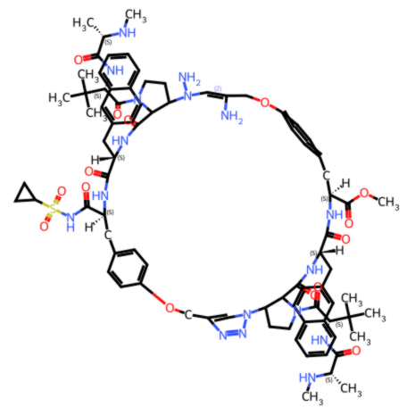 CN[C@@H](C)C(=O)N[C@H](C(=O)N1CCC2C1C(=O)N[C@@H](Cc1ccc3ccccc3c1)C(=O)N[C@H](C(=O)NS(=O)(=O)C1CC1)Cc1ccc(cc1)OCc1cn(nn1)C1CCN(C(=O)[C@@H](NC(=O)[C@H](C)NC)C(C)(C)C)C1C(=O)N[C@@H](Cc1ccc3ccccc3c1)C(=O)N[C@H](C(=O)OC)Cc1ccc(cc1)OC/C(N)=C/N2N)C(C)(C)C